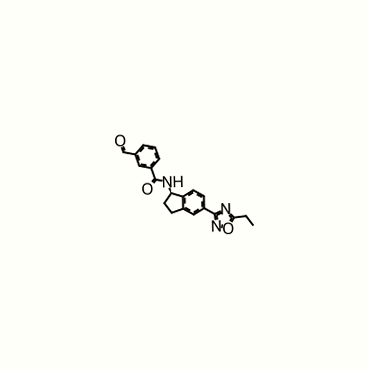 CCc1nc(-c2ccc3c(c2)CC[C@H]3NC(=O)c2cccc(C=O)c2)no1